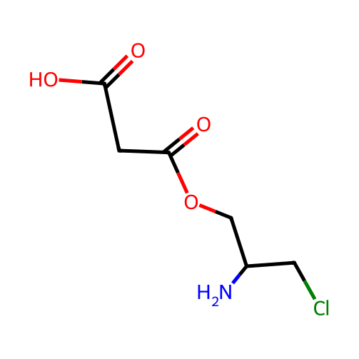 NC(CCl)COC(=O)CC(=O)O